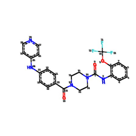 O=C(Nc1ccccc1OC(F)(F)F)N1CCN(C(=O)c2ccc(Nc3ccncc3)cc2)CC1